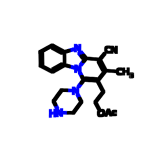 CC(=O)OCCc1c(C)c(C#N)c2nc3ccccc3n2c1N1CCNCC1